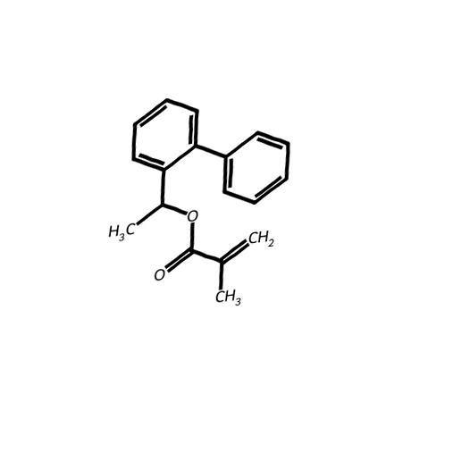 C=C(C)C(=O)OC(C)c1ccccc1-c1ccccc1